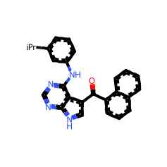 CC(C)c1cccc(Nc2ncnc3[nH]cc(C(=O)c4cccc5ccccc45)c23)c1